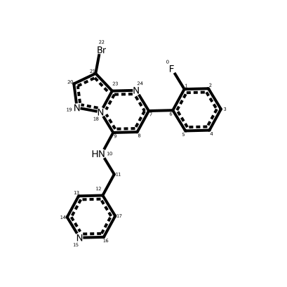 Fc1ccccc1-c1cc(NCc2ccncc2)n2ncc(Br)c2n1